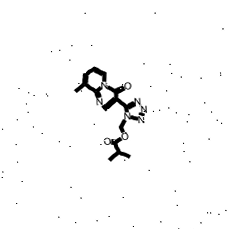 Cc1cccn2c(=O)c(-c3nnnn3COC(=O)C(C)C)cnc12